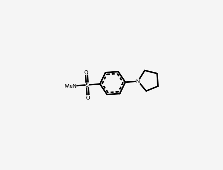 CNS(=O)(=O)c1ccc(N2CCCC2)cc1